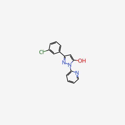 Oc1cc(-c2cccc(Cl)c2)nn1-c1ccccn1